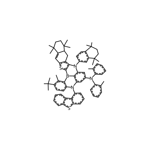 Cc1ccccc1N(c1cc2c3c(c1)N(c1cccc4sc5ccccc5c14)c1ccc(C(C)(C)C)c(C)c1B3c1sc3c(c1N2c1ccc2c(c1)C(C)(C)CCC2(C)C)CC1C(=C3)C(C)(C)CCC1(C)C)c1ccccc1C